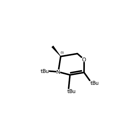 C[C@H]1COC(C(C)(C)C)=C(C(C)(C)C)N1C(C)(C)C